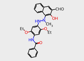 CCOc1cc(NN(C)c2c(O)c(C=O)cc3ccccc23)c(OCC)cc1NC(=O)c1ccccc1